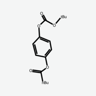 CCCCC(=O)Oc1ccc(OC(=O)OC(C)(C)C)cc1